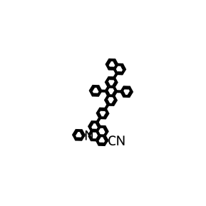 N#Cc1ccc2c3c1ccc1c(-c4ccc(-c5ccc6c(-c7ccccc7)c7cc(-c8cccc9ccccc89)ccc7c(-c7ccccc7)c6c5)cc4)ccc(c13)N(c1ccccc1)C2